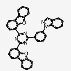 c1cc(-c2nc(-c3cccc4c3oc3ccccc34)nc(-c3cccc4c3oc3ccccc34)n2)cc(-n2ncc3ccccc32)c1